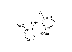 COc1cccc(OC)c1Nc1nccnc1Cl